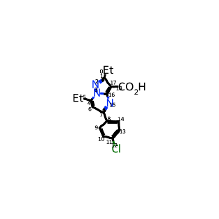 CCc1nn2c(CC)cc(-c3ccc(Cl)cc3)nc2c1C(=O)O